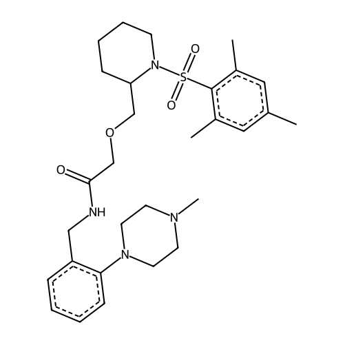 Cc1cc(C)c(S(=O)(=O)N2CCCCC2COCC(=O)NCc2ccccc2N2CCN(C)CC2)c(C)c1